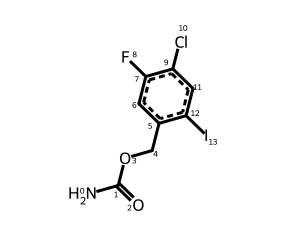 NC(=O)OCc1cc(F)c(Cl)cc1I